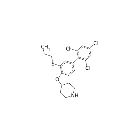 CCCSc1cc(-c2c(Cl)cc(Cl)cc2Cl)cc2c1OC1CCNCC21